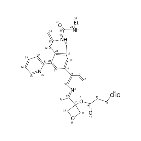 C=C/C(=C\N=C(/C)C1(OC(=O)CCC=O)COC1)c1cc(C)c(SC(=C)NC(=O)NCC)c(-c2ccccn2)c1